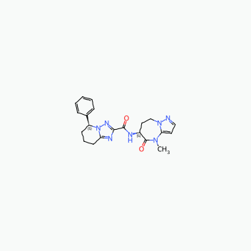 CN1C(=O)[C@@H](NC(=O)c2nc3n(n2)[C@H](c2ccccc2)CCC3)CCn2nccc21